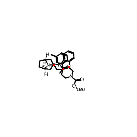 Cc1cccc(C2(CCN3[C@@H]4CC[C@H]3C[C@@H](n3c(C)nc5ccccc53)C4)CCN(C(=O)OC(C)(C)C)CC2)c1